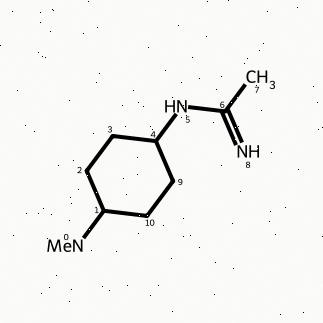 CNC1CCC(NC(C)=N)CC1